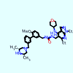 CCc1nc2c(cnn2CC)c(NC2CCOCC2)c1CNC(=O)NCc1ccc(OC)c(-c2cccc(CN3C[C@@H](C)N[C@@H](C)C3)c2)c1